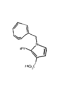 CC(C)c1c(C(=O)O)ccn1Cc1ccccc1